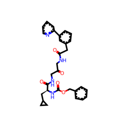 O=C(CNC(=O)Cc1cccc(-c2ccccn2)c1)CNC(=O)[C@H](CC1CC1)NC(=O)OCc1ccccc1